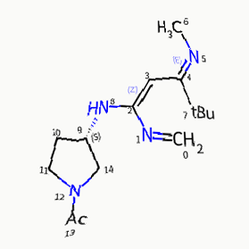 C=N/C(=C\C(=N/C)C(C)(C)C)N[C@H]1CCN(C(C)=O)C1